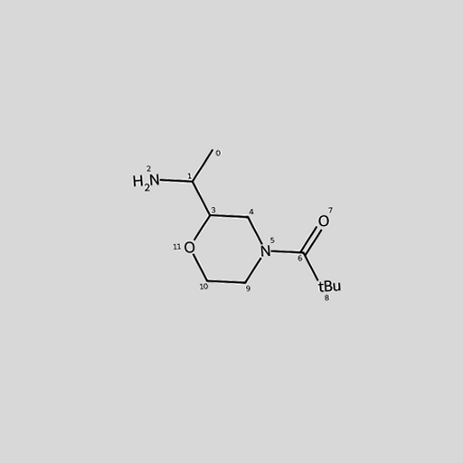 CC(N)C1CN(C(=O)C(C)(C)C)CCO1